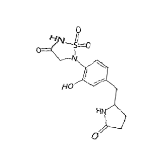 O=C1CCC(Cc2ccc(N3CC(=O)NS3(=O)=O)c(O)c2)N1